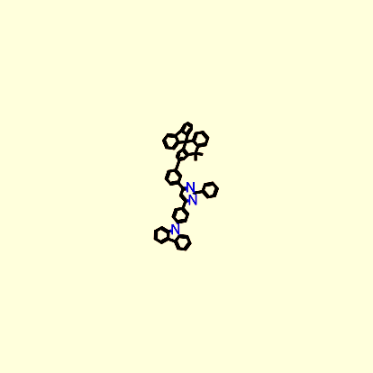 CC1(C)c2ccccc2C2(c3ccccc3-c3ccccc32)c2ccc(-c3cccc(-c4cc(-c5ccc(-n6c7ccccc7c7ccccc76)cc5)nc(-c5ccccc5)n4)c3)cc21